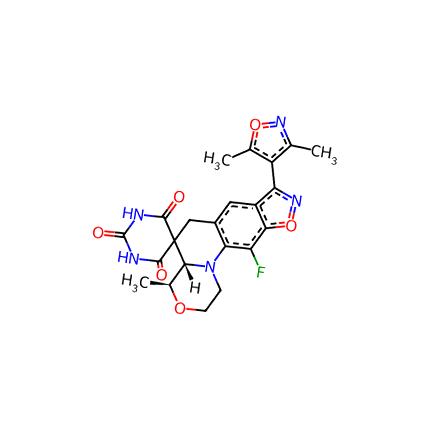 Cc1noc(C)c1-c1noc2c(F)c3c(cc12)CC1(C(=O)NC(=O)NC1=O)[C@H]1[C@H](C)OCCN31